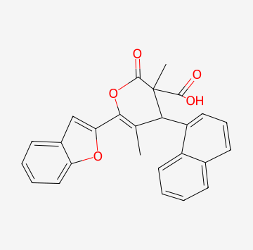 CC1=C(c2cc3ccccc3o2)OC(=O)C(C)(C(=O)O)C1c1cccc2ccccc12